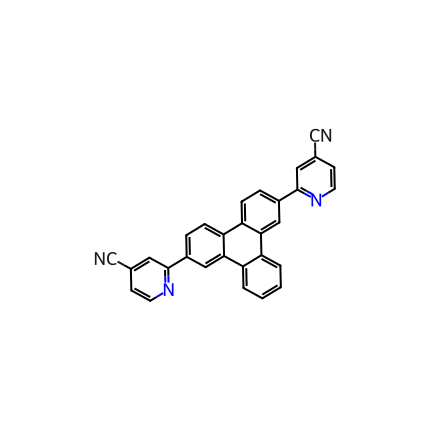 N#Cc1ccnc(-c2ccc3c4ccc(-c5cc(C#N)ccn5)cc4c4ccccc4c3c2)c1